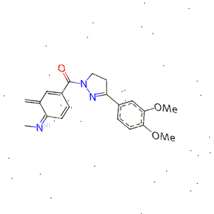 C=C1C=C(C(=O)N2CCC(c3ccc(OC)c(OC)c3)=N2)C=C/C1=N/C